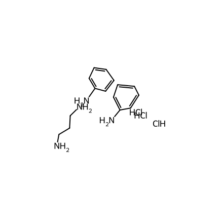 Cl.Cl.Cl.NCCCN.Nc1ccccc1.Nc1ccccc1